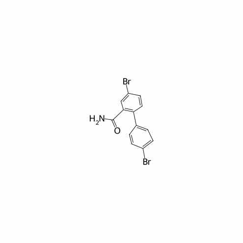 NC(=O)c1cc(Br)ccc1-c1ccc(Br)cc1